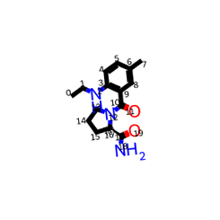 CCNc1ccc(C)cc1C(=O)N1CCC[C@@H]1C(N)=O